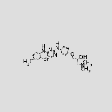 Cc1ccc(Nc2ccnc(Nc3ccc(OCC(O)CN(C)C)cc3)n2)c(Br)c1